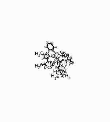 Cn1cc(C(NC(=O)[C@@H]2[C@@H]3[C@H](CN2C(=O)[C@@H](NC(=O)C(F)(F)F)C(C)(C)C)C3(C)C)C(N)=O)c(OCc2ccccc2)n1